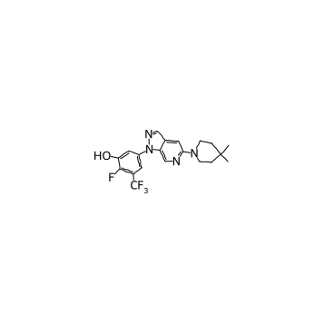 CC1(C)CCN(c2cc3cnn(-c4cc(O)c(F)c(C(F)(F)F)c4)c3cn2)CC1